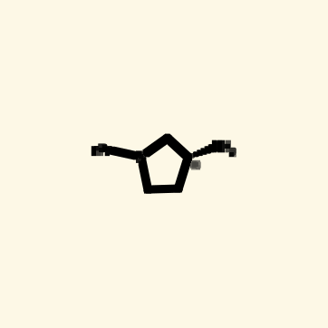 CCCN1CC[C@@H](N)C1